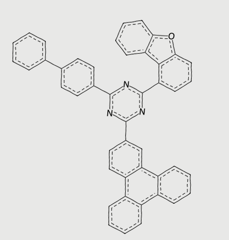 c1ccc(-c2ccc(-c3nc(-c4ccc5c6ccccc6c6ccccc6c5c4)nc(-c4cccc5oc6ccccc6c45)n3)cc2)cc1